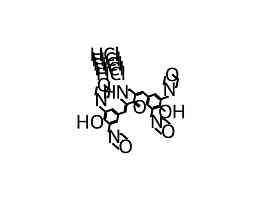 Cl.Cl.Cl.Cl.Cl.O=C1C(=Cc2cc(CN3CCOCC3)c(O)c(CN3CCOCC3)c2)CNCC1=Cc1cc(CN2CCOCC2)c(O)c(CN2CCOCC2)c1